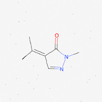 CC(C)=C1C=NN(C)C1=O